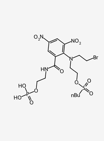 CCCCS(=O)(=O)OCCN(CCBr)c1c(C(=O)NCCOP(=O)(O)O)cc([N+](=O)[O-])cc1[N+](=O)[O-]